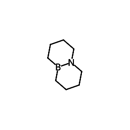 C1CCN2CCCCB2C1